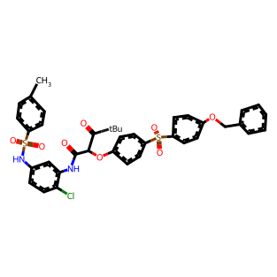 Cc1ccc(S(=O)(=O)Nc2ccc(Cl)c(NC(=O)C(Oc3ccc(S(=O)(=O)c4ccc(OCc5ccccc5)cc4)cc3)C(=O)C(C)(C)C)c2)cc1